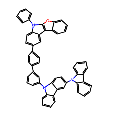 c1ccc(-n2c3ccc(-c4ccc(-c5cccc(-n6c7ccccc7c7cc(-n8c9ccccc9c9ccccc98)ccc76)c5)cc4)cc3c3c4ccccc4oc32)cc1